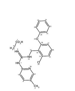 CC(=O)O.Cc1ccc(NC(=N)NCc2c(Cl)cccc2Oc2ccccc2)nc1